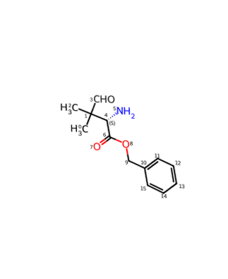 CC(C)(C=O)[C@H](N)C(=O)OCc1ccccc1